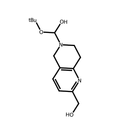 CC(C)(C)OC(O)N1CCc2nc(CO)ccc2C1